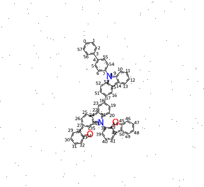 c1ccc(-c2ccc(-n3c4ccccc4c4cc(-c5ccc6c(c5)c5ccc7c8ccccc8oc7c5n6-c5cccc6c5oc5ccccc56)ccc43)cc2)cc1